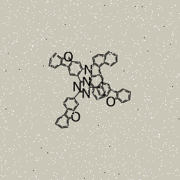 c1ccc2cc3c(cc2c1)c1c2ccccc2ccc1n3-c1cc2oc3ccccc3c2cc1-c1nc(-c2ccc3c(c2)oc2ccccc23)nc(-c2ccc3c(c2)oc2ccccc23)n1